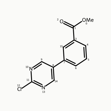 COC(=O)c1cccc(-c2cnc(Cl)nc2)c1